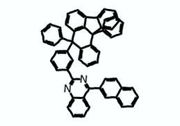 c1ccc(C2(c3cccc(-c4nc(-c5ccc6ccccc6c5)c5ccccc5n4)c3)c3ccccc3C3(c4ccccc4)c4ccccc4-c4cccc2c43)cc1